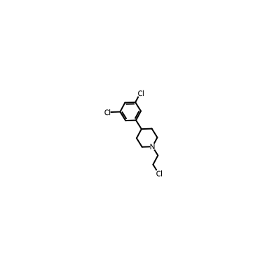 ClCCN1CCC(c2cc(Cl)cc(Cl)c2)CC1